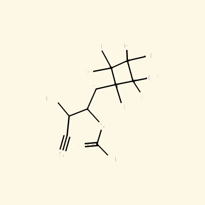 [2H]C1([2H])C([2H])([2H])C([2H])(CC(NC(=O)O)C(O)C#N)C1([2H])[2H]